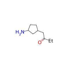 CCC(=O)CC1CCC(N)C1